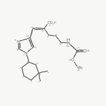 CC1(C)CCCC(n2cnc(C=C(CCCNC(=O)OC(C)(C)C)C(=O)O)c2)C1